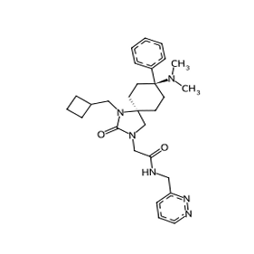 CN(C)[C@]1(c2ccccc2)CC[C@]2(CC1)CN(CC(=O)NCc1cccnn1)C(=O)N2CC1CCC1